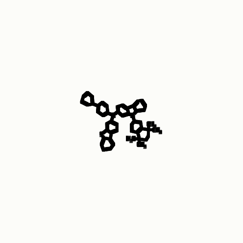 CC1(C)CCC(C)(C)c2cc(-n3c4ccccc4c4ccc(N(c5ccc(-c6ccccc6)cc5)c5ccc6c(c5)sc5ccccc56)cc43)ccc21